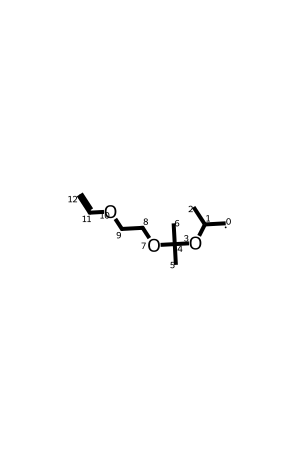 [CH2]C(C)OC(C)(C)OCCOC=C